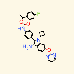 CC(OC(=O)Nc1ccc(-c2c(N)c3ccc(Oc4ncccn4)cc3n2C2CCC2)cc1)c1ccc(F)cc1